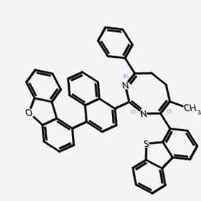 C/C1=C(c2cccc3c2sc2ccccc23)/N=C(c2ccc(-c3cccc4oc5ccccc5c34)c3ccccc23)\N=C(\c2ccccc2)CC1